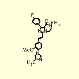 COc1cc(C=Cc2nc(-c3ccc(F)cc3)c3n2CCN(C)C3=O)ccc1-n1cnc(C)c1